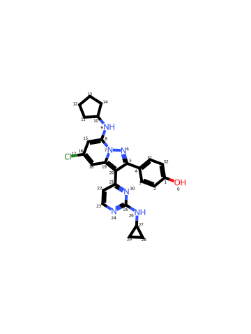 Oc1ccc(-c2nn3c(NC4CCCC4)cc(Cl)cc3c2-c2ccnc(NC3CC3)n2)cc1